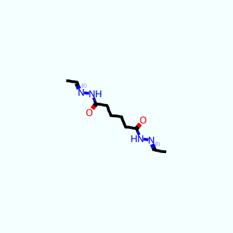 C/C=N/NC(=O)CCCCC(=O)N/N=C/C